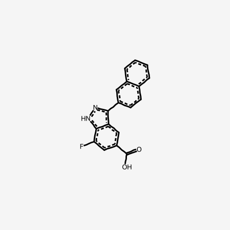 O=C(O)c1cc(F)c2[nH]nc(-c3ccc4ccccc4c3)c2c1